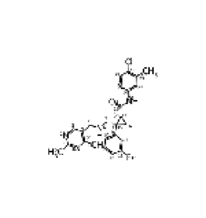 Cc1ncc(CNC[C@@]2(c3cccc(F)c3)C[C@H]2C(=O)Nc2cc(C)c(Cl)cn2)c(C)n1